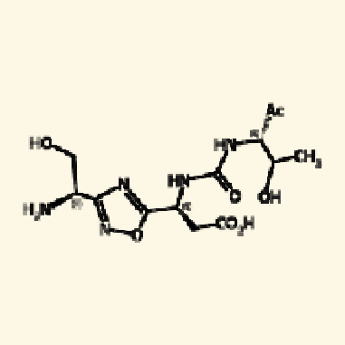 CC(=O)[C@@H](NC(=O)N[C@@H](CC(=O)O)c1nc([C@@H](N)CO)no1)C(C)O